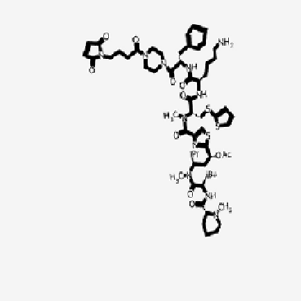 CC[C@H](C)C(NC(=O)[C@H]1CCCCN1C)C(=O)N(C)[C@H](C[C@@H](OC(C)=O)c1nc(C(=O)N(C)[C@@H](CSc2cccs2)C(=O)N[C@H](CCCCN)C(=O)N[C@@H](Cc2ccccc2)C(=O)N2CCN(C(=O)CCCN3C(=O)C=CC3=O)CC2)cs1)C(C)C